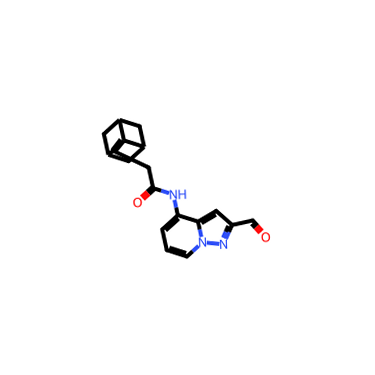 O=Cc1cc2c(NC(=O)CC3=C4C5CC(C3)CC4C5)cccn2n1